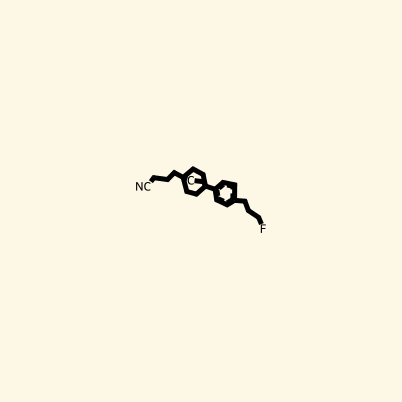 N#CCCCC12CCC(c3ccc(CCCF)cc3)(CC1)CC2